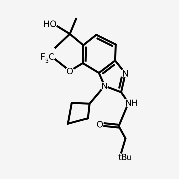 CC(C)(C)CC(=O)Nc1nc2ccc(C(C)(C)O)c(OC(F)(F)F)c2n1C1CCC1